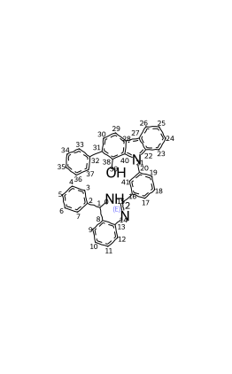 NC(c1ccccc1)c1ccccc1/N=C/c1cccc(-n2c3ccccc3c3ccc(-c4ccccc4)c(O)c32)c1